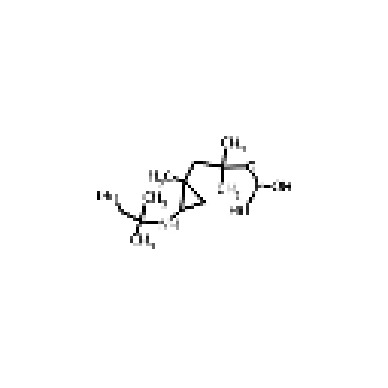 CC(C)(C)CC(C)(C)NC1CC1(C)CC(C)(C)OP(O)O